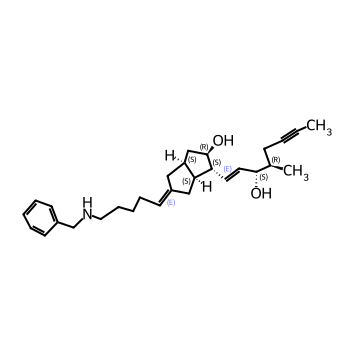 CC#CC[C@@H](C)[C@H](O)/C=C/[C@@H]1[C@H]2C/C(=C/CCCCNCc3ccccc3)C[C@H]2C[C@H]1O